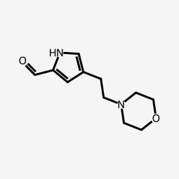 O=Cc1cc(CCN2CCOCC2)c[nH]1